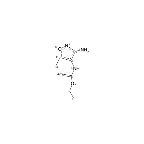 CCOC(=O)Nc1c(N)noc1C